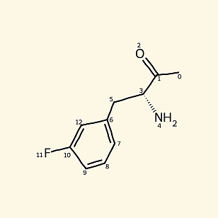 CC(=O)[C@H](N)Cc1cccc(F)c1